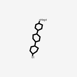 CCCCCCCC1CCC(C2CCC(C3CCC(CC)CC3)CC2)CC1